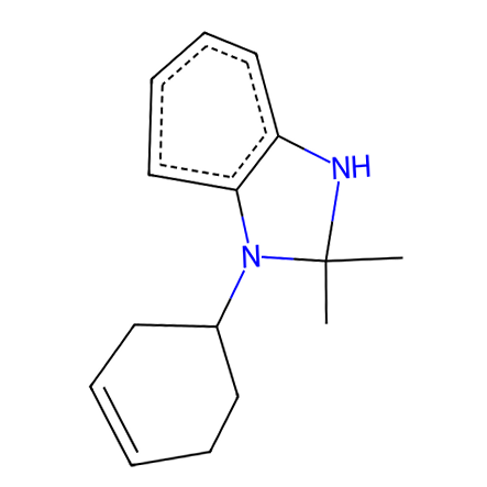 CC1(C)Nc2ccccc2N1C1CC=CCC1